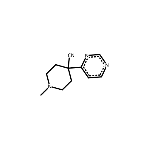 CN1CCC(C#N)(c2ccncn2)CC1